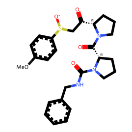 COc1ccc([S+]([O-])CC(=O)[C@@H]2CCCN2C(=O)[C@@H]2CCCN2C(=O)NCc2ccccc2)cc1